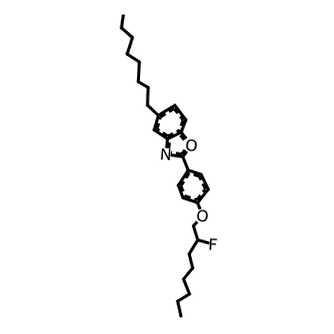 CCCCCCCCc1ccc2oc(-c3ccc(OCC(F)CCCCCC)cc3)nc2c1